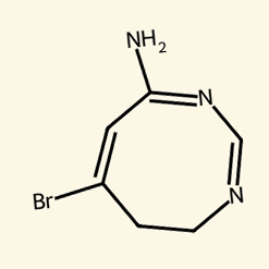 NC1=N/C=N\CC/C(Br)=C\1